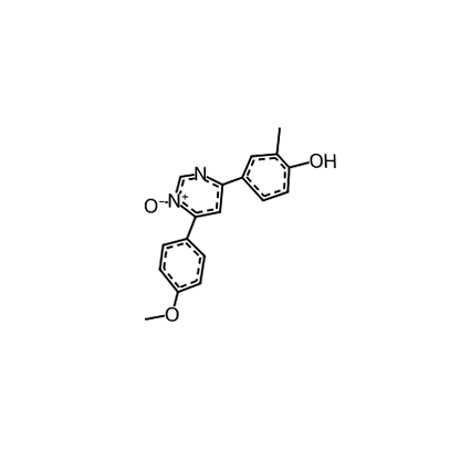 COc1ccc(-c2cc(-c3ccc(O)c(C)c3)nc[n+]2[O-])cc1